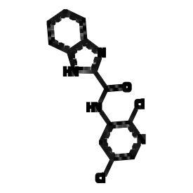 O=C(Nc1cc(Cl)cnc1Cl)c1nc2ccccc2[nH]1